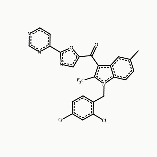 Cc1ccc2c(c1)c(C(=O)c1cnc(-c3ccncn3)o1)c(C(F)(F)F)n2Cc1ccc(Cl)cc1Cl